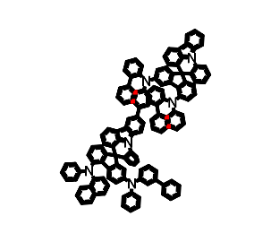 c1ccc(-c2cccc(N(c3ccccc3)c3ccc4c(c3)C3(c5ccccc5-n5c6ccc(-c7ccc(N(c8ccc9c(c8)-c8c(N(c%10ccccc%10)c%10ccccc%10-c%10ccccc%10)cccc8C98c9ccccc9-n9c%10ccccc%10c%10cccc8c%109)c8ccccc8-c8ccccc8)cc7)cc6c6cccc3c65)c3cccc(N(c5ccccc5)c5cccc6ccccc56)c3-4)c2)cc1